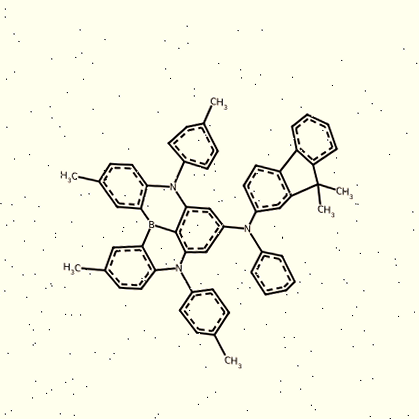 Cc1ccc(N2c3ccc(C)cc3B3c4cc(C)ccc4N(c4ccc(C)cc4)c4cc(N(c5ccccc5)c5ccc6c(c5)C(C)(C)c5ccccc5-6)cc2c43)cc1